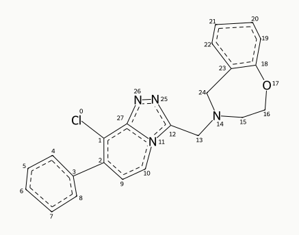 Clc1c(-c2ccccc2)ccn2c(CN3CCOc4ccccc4C3)nnc12